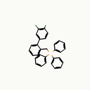 Clc1ccc(-c2ccccc2C[P+](c2ccccc2)(c2ccccc2)c2ccccc2)cc1Cl.[Br-]